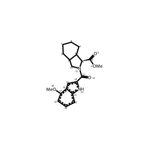 COC(=O)[C@@H]1C2CCCCC2CN1C(=O)c1cc2c(OC)cccc2[nH]1